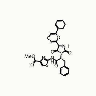 COC(=O)c1csc(NC(=O)[C@H](Cc2ccccc2)N2C(=O)NC(C3=COC=C(C4=CC=CCC4)O3)C2=O)n1